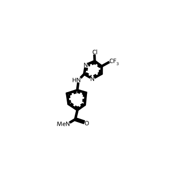 CNC(=O)c1ccc(Nc2ncc(C(F)(F)F)c(Cl)n2)cc1